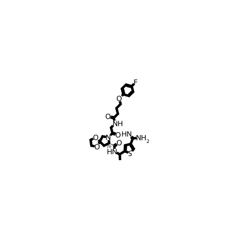 CC(NC(=O)[C@@H]1CC2(CN1C(=O)CNC(=O)CCCOc1ccc(F)cc1)OCCO2)c1cc(C(=N)N)cs1